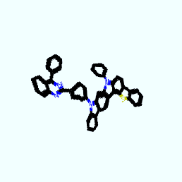 c1ccc(-c2nc(-c3ccc(-n4c5ccccc5c5cc6c7c8sc9ccccc9c8ccc7n(-c7ccccc7)c6cc54)cc3)nc3ccccc23)cc1